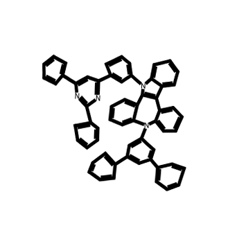 c1ccc(-c2cc(-c3ccccc3)cc(N3c4ccccc4-c4c(n(-c5cccc(-c6cc(-c7ccccc7)nc(-c7ccccc7)n6)c5)c5ccccc45)-c4ccccc43)c2)cc1